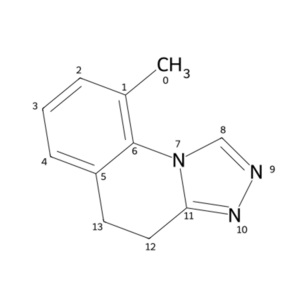 Cc1cccc2c1-n1cnnc1CC2